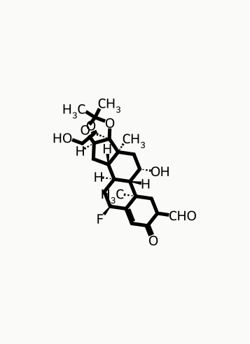 CC1(C)O[C@@H]2C[C@H]3[C@@H]4C[C@H](F)C5=CC(=O)C(C=O)C[C@]5(C)[C@H]4[C@@H](O)C[C@]3(C)[C@]2(C(=O)CO)O1